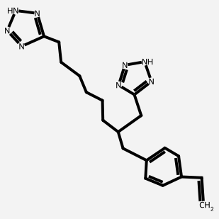 C=Cc1ccc(CC(CCCCCCc2nn[nH]n2)Cc2nn[nH]n2)cc1